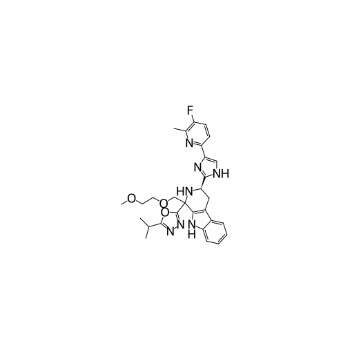 COCCOCC1(c2nnc(C(C)C)o2)N[C@@H](c2nc(-c3ccc(F)c(C)n3)c[nH]2)Cc2c1[nH]c1ccccc21